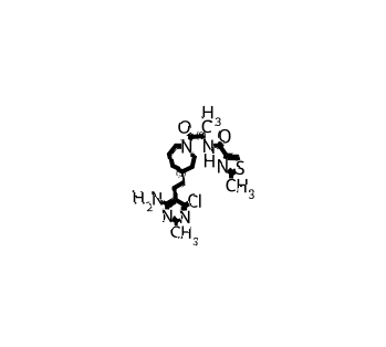 Cc1nc(N)c(CC[C@H]2CCCN(C(=O)[C@H](C)NC(=O)c3csc(C)n3)CC2)c(Cl)n1